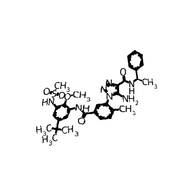 COc1c(NC(=O)c2ccc(C)c(-n3nnc(C(=O)N[C@H](C)c4ccccc4)c3N)c2)cc(C(C)(C)C)cc1NS(C)(=O)=O